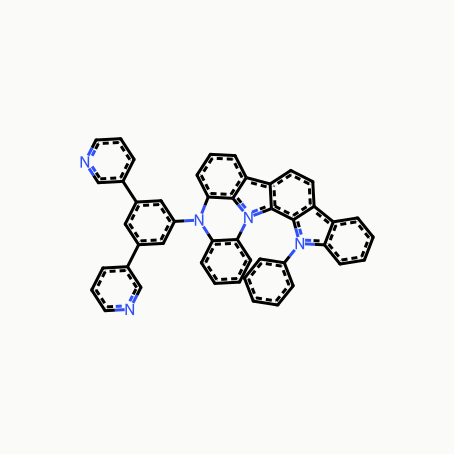 c1ccc(-n2c3ccccc3c3ccc4c5cccc6c5n(c4c32)-c2ccccc2N6c2cc(-c3cccnc3)cc(-c3cccnc3)c2)cc1